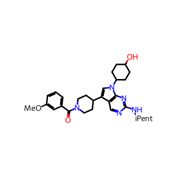 CCC[C@H](C)Nc1ncc2c(C3CCN(C(=O)c4cccc(OC)c4)CC3)cn(C3CCC(O)CC3)c2n1